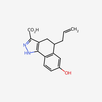 C=CCC1Cc2c(C(=O)O)n[nH]c2-c2ccc(O)cc21